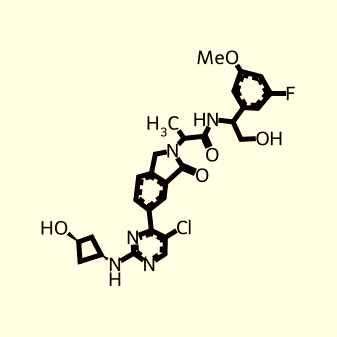 COc1cc(F)cc(C(CO)NC(=O)C(C)N2Cc3ccc(-c4nc(N[C@H]5C[C@H](O)C5)ncc4Cl)cc3C2=O)c1